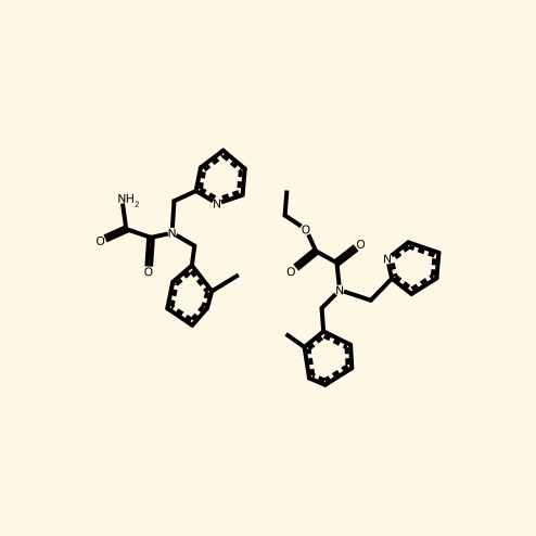 CCOC(=O)C(=O)N(Cc1ccccn1)Cc1ccccc1C.Cc1ccccc1CN(Cc1ccccn1)C(=O)C(N)=O